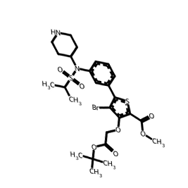 COC(=O)c1sc(-c2cccc(N(C3CCNCC3)S(=O)(=O)C(C)C)c2)c(Br)c1OCC(=O)OC(C)(C)C